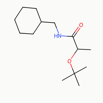 CC(OC(C)(C)C)C(=O)NCC1CCCCC1